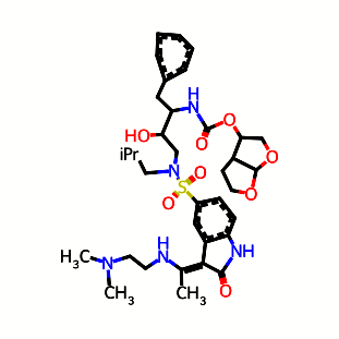 CC(NCCN(C)C)=C1C(=O)Nc2ccc(S(=O)(=O)N(CC(C)C)CC(O)C(Cc3ccccc3)NC(=O)OC3COC4OCCC34)cc21